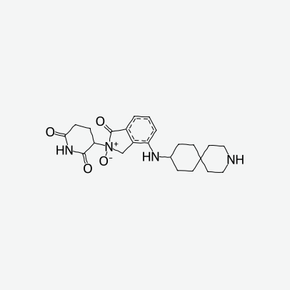 O=C1CCC([N+]2([O-])Cc3c(NC4CCC5(CCNCC5)CC4)cccc3C2=O)C(=O)N1